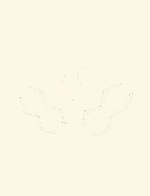 C=CC[Si](OCCC)(c1cccc2ccccc12)c1cccc2ccccc12